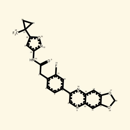 O=C(Cc1ccc(-c2cnc3cc4c(cc3n2)OCO4)cc1F)Nc1cc(C2(C(F)(F)F)CC2)on1